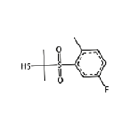 Cc1ccc(F)cc1S(=O)(=O)C(C)(C)S